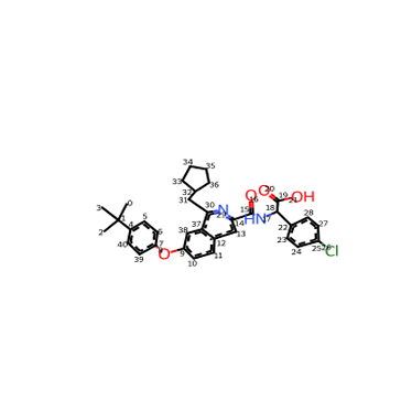 CC(C)(C)c1ccc(Oc2ccc3cc(C(=O)NC(C(=O)O)c4ccc(Cl)cc4)nc(CC4CCCC4)c3c2)cc1